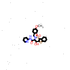 COc1ccc(CN2C(C(=O)Nc3ccccn3)=C(O)c3sc4ccccc4c3S2(=O)=O)cc1